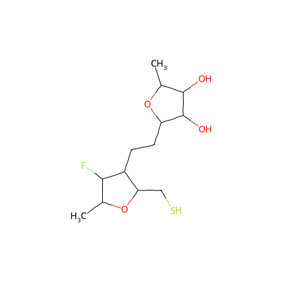 CC1OC(CCC2C(CS)OC(C)C2F)C(O)C1O